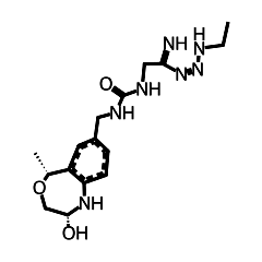 CCN/N=N\C(=N)CNC(=O)NCc1ccc2c(c1)[C@@H](C)OC[C@@H](O)N2